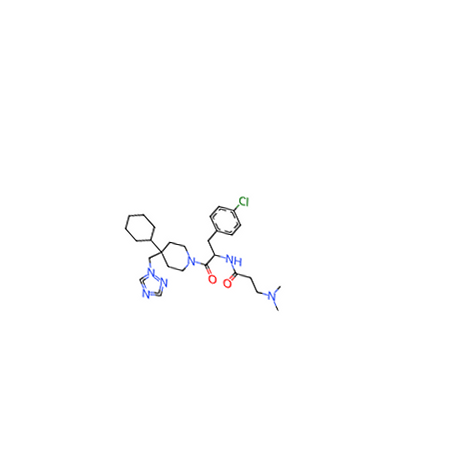 CN(C)CCC(=O)NC(Cc1ccc(Cl)cc1)C(=O)N1CCC(Cn2cncn2)(C2CCCCC2)CC1